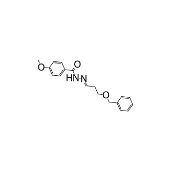 COc1ccc(C(=O)N/N=C/CCOCc2ccccc2)cc1